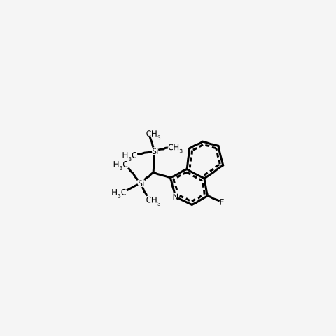 C[Si](C)(C)C(c1ncc(F)c2ccccc12)[Si](C)(C)C